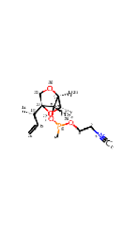 [C-]#[N+]CCOP(C)O[C@H]1[C@H]2OC[C@]1([C@@H](C)C=C)O[C@H]2C